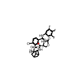 O=C1N[C@H](C(=O)NC[C@]2(O)C3CC2C[C@@H](S(=O)(=O)c2cc(C(=O)Nc4cc(F)c(F)c(F)c4)ccc2Cl)C3)CO1